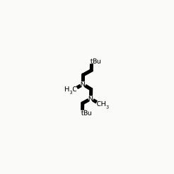 CN(CCC(C)(C)C)CN(C)CC(C)(C)C